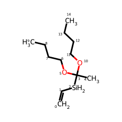 C=C[SiH2]C(C)(OCCCC)OCCCC